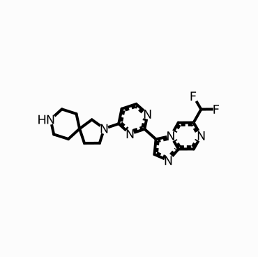 FC(F)c1cn2c(-c3nccc(N4CCC5(CCNCC5)C4)n3)cnc2cn1